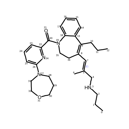 CCCNC/C(C)=C/C1=C(CCC)c2ccccc2N(C(=O)c2cccc(N3CCCOCC3)n2)CC1